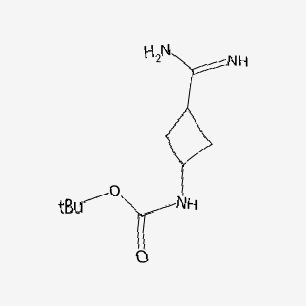 CC(C)(C)OC(=O)NC1CC(C(=N)N)C1